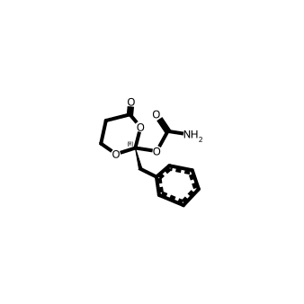 NC(=O)O[C@]1(Cc2ccccc2)OCCC(=O)O1